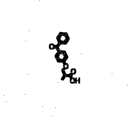 CC(COc1ccc(C(=O)c2ccccc2)cc1)C(=O)O